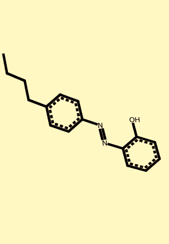 CCCCc1ccc(N=Nc2ccccc2O)cc1